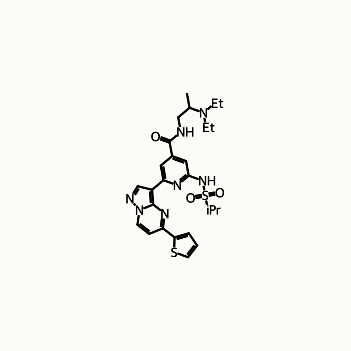 CCN(CC)C(C)CNC(=O)c1cc(NS(=O)(=O)C(C)C)nc(-c2cnn3ccc(-c4cccs4)nc23)c1